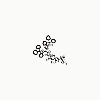 Cc1snnc1C=CC1(C(=O)O)CS[C@@H]2C(NC(=O)C(=NOC(c3ccccc3)(c3ccccc3)c3ccccc3)c3csc(NC(c4ccccc4)(c4ccccc4)c4ccccc4)n3)C(=O)N2C1